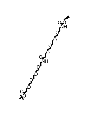 C#CCOC(=O)NCCOCCOCCOCCOCCC(=O)NCCOCCOCCOCCOCCC(=O)OC(C)(C)C